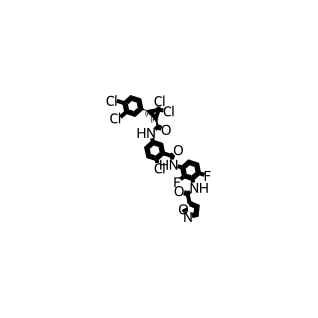 O=C(Nc1c(F)ccc(NC(=O)c2cc(NC(=O)[C@H]3[C@H](c4ccc(Cl)c(Cl)c4)C3(Cl)Cl)ccc2Cl)c1F)c1ccno1